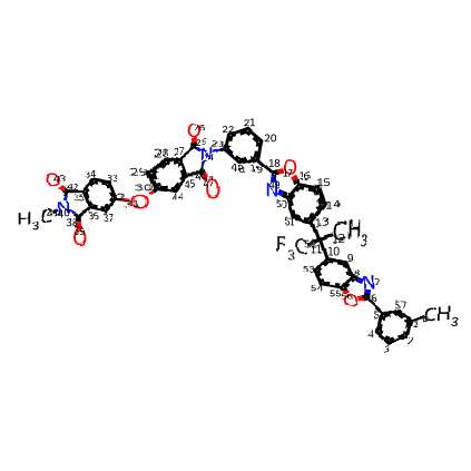 Cc1cccc(-c2nc3cc(C(C)(c4ccc5oc(-c6cccc(N7C(=O)c8ccc(Oc9ccc%10c(c9)C(=O)N(C)C%10=O)cc8C7=O)c6)nc5c4)C(F)(F)F)ccc3o2)c1